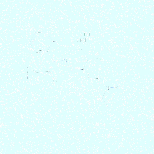 CN(C/C=C1/CN(C(C(=O)C2CC2)c2ccccc2F)CCC1S)CCC(=O)O.Cl.Cl